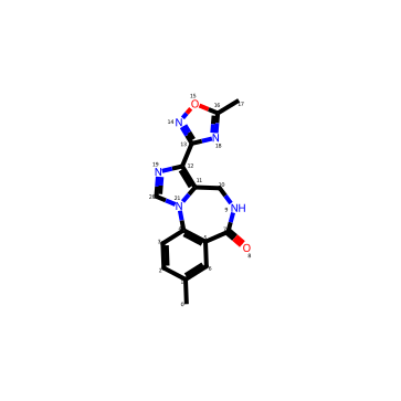 Cc1ccc2c(c1)C(=O)NCc1c(-c3noc(C)n3)ncn1-2